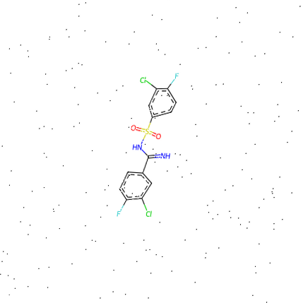 N=C(NS(=O)(=O)c1ccc(F)c(Cl)c1)c1ccc(F)c(Cl)c1